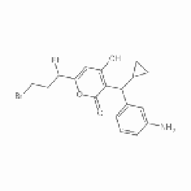 CCC(CCBr)c1cc(O)c(C(c2cccc(N)c2)C2CC2)c(=O)o1